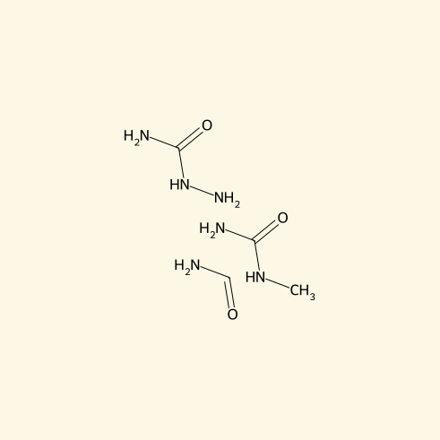 CNC(N)=O.NC=O.NNC(N)=O